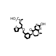 CN(CCC(OCc1cccc(N2CCN(C)c3nc(O)ncc3C2=O)c1)c1cccs1)C(=O)O